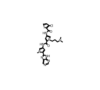 CN(C)CCCn1cc(NC(=O)c2sccc2Cl)cc1C(=O)Nc1cc(-c2nc3cncnc3[nH]2)n(C)c1